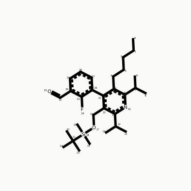 CCCCCc1c(C(C)C)nc(C(C)C)c(CO[Si](C)(C)C(C)(C)C)c1-c1cccc(C=O)c1F